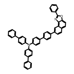 c1ccc(-c2ccc(N(c3ccc(-c4ccccc4)cc3)c3ccc(-c4ccc(-c5ccc6ccc7oc(-c8ccccc8)nc7c6c5)cc4)cc3)cc2)cc1